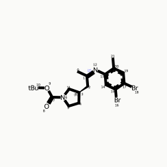 C/C(C[C@H]1CCN(C(=O)OC(C)(C)C)C1)=N/c1cc(Br)c(Br)cc1C